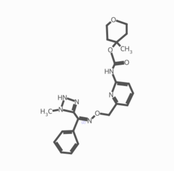 Cn1[nH]nc1/C(=N\OCc1cccc(NC(=O)OC2(C)CCOCC2)n1)c1ccccc1